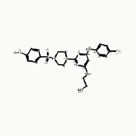 COc1ccc(S(=O)(=O)N2CCN(c3nc(NCCO)cc(Nc4ccc(C)cc4)n3)CC2)cc1